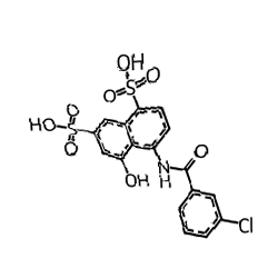 O=C(Nc1ccc(S(=O)(=O)O)c2cc(S(=O)(=O)O)cc(O)c12)c1cccc(Cl)c1